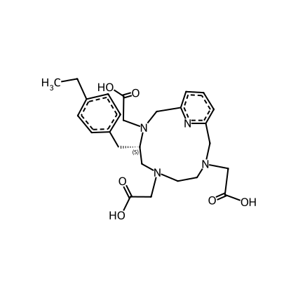 CCc1ccc(C[C@H]2CN(CC(=O)O)CCN(CC(=O)O)Cc3cccc(n3)CN2CC(=O)O)cc1